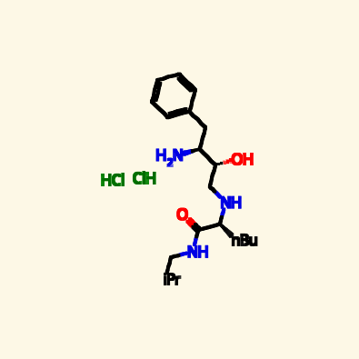 CCCC[C@H](NC[C@@H](O)[C@@H](N)Cc1ccccc1)C(=O)NCC(C)C.Cl.Cl